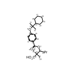 CC(C)C(OC(=O)c1ccc(OC(C)(C)C2CCCCC2)cc1)C(F)(F)C(=O)O